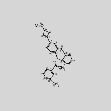 C=C(C[C@H](c1ccc(N2CC(OC)C2)cc1)c1ccccc1C)c1ccnc(C)c1